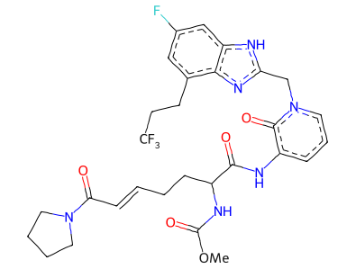 COC(=O)NC(CCC=CC(=O)N1CCCC1)C(=O)Nc1cccn(Cc2nc3c(CCC(F)(F)F)cc(F)cc3[nH]2)c1=O